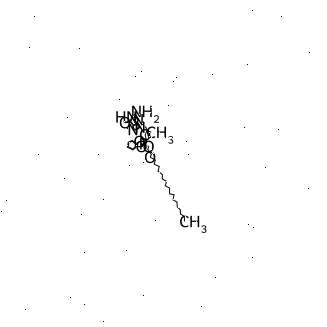 CCCCCCCCCCCCCCCCCCOCCOP(=O)(COC(C)Cn1cnc2c(=O)[nH]c(N)nc21)Oc1ccccc1